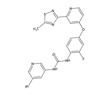 Cc1nc(-c2cc(Oc3ccc(NC(=O)Nc4cncc(C(C)C)c4)c(F)c3)ccn2)ns1